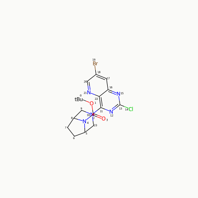 CC(C)(C)OC(=O)N1C2CCC1CN(c1nc(Cl)nc3cc(Br)cnc13)C2